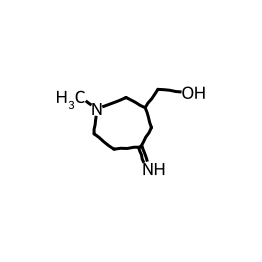 CN1CCC(=N)CC(CO)C1